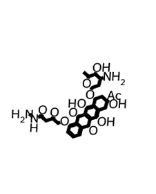 CC(=O)[C@]1(O)Cc2c(O)c3c(c(O)c2[C@@H](OC2CC(N)C(O)C(C)O2)C1)C(=O)c1c(OCC(=O)CC(=O)NN)cccc1C3=O